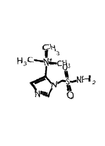 C[N+](C)(C)c1cncn1S(N)(=O)=O